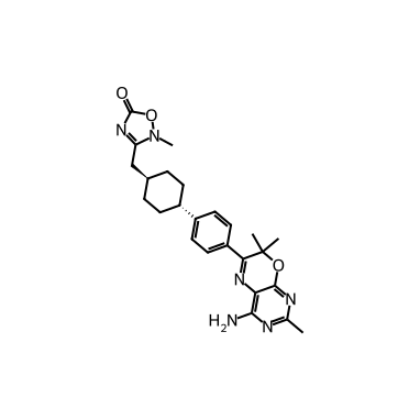 Cc1nc(N)c2c(n1)OC(C)(C)C(c1ccc([C@H]3CC[C@H](Cc4nc(=O)on4C)CC3)cc1)=N2